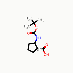 CC(C)(C)OC(=O)NC1CCC[C@H]1C(=O)O